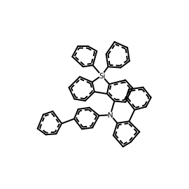 c1ccc(-c2ccc(N(c3ccccc3-c3ccccc3)c3cccc4c3-c3ccccc3[Si]4(c3ccccc3)c3ccccc3)cc2)cc1